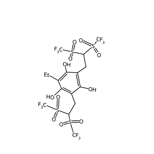 CCc1c(O)c(CC(S(=O)(=O)C(F)(F)F)S(=O)(=O)C(F)(F)F)c(O)c(CC(S(=O)(=O)C(F)(F)F)S(=O)(=O)C(F)(F)F)c1O